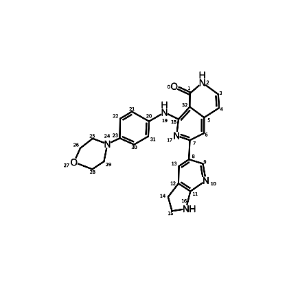 O=c1[nH]ccc2cc(-c3cnc4c(c3)CCN4)nc(Nc3ccc(N4CCOCC4)cc3)c12